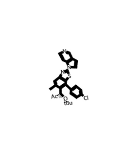 CC(=O)[C@@H](OC(C)(C)C)c1c(C)cc2nc(-n3ccc4cnccc43)sc2c1-c1ccc(Cl)cc1